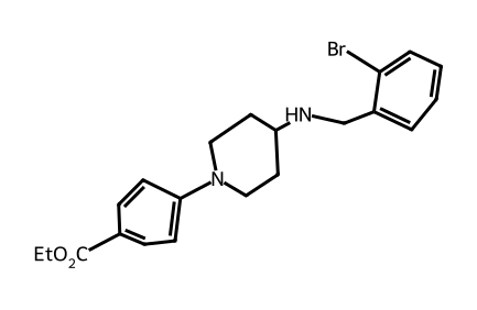 CCOC(=O)c1ccc(N2CCC(NCc3ccccc3Br)CC2)cc1